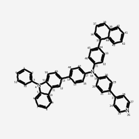 c1ccc(-n2c3ccccc3c3cc(-c4ccc(N(c5ccc(-c6ccncc6)cc5)c5ccc(-c6cccc7ccccc67)cc5)cc4)ccc32)cc1